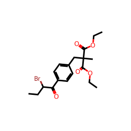 CCOC(=O)C(C)(Cc1ccc(C(=O)C(Br)CC)cc1)C(=O)OCC